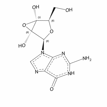 Nc1nc2c(ncn2[C@@H]2O[C@H](CO)[C@]3(O)O[C@]23O)c(=O)[nH]1